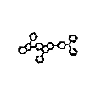 C1=CCC(N(C2=CC=C(c3ccc4c(c3)cc(-c3ccccc3)c3cc(-c5cc6c(cc5-c5ccccc5)C=CCC6)ccc34)CC2)c2ccccc2)C=C1